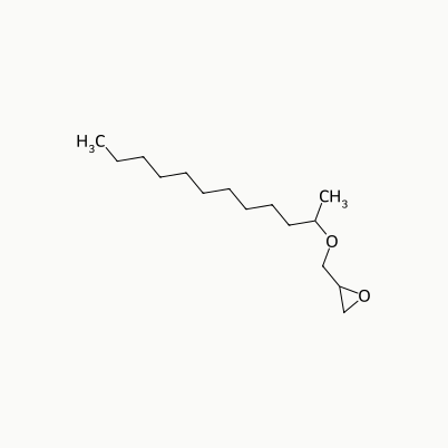 CCCCCCCCCCC(C)OCC1CO1